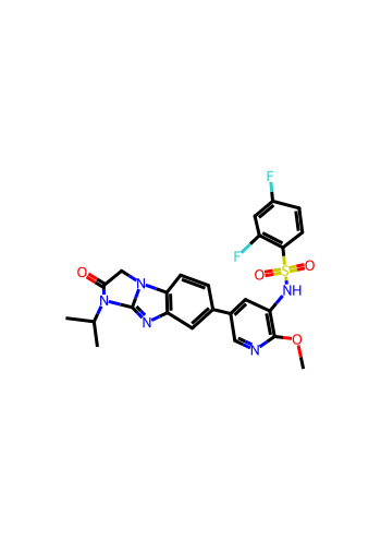 COc1ncc(-c2ccc3c(c2)nc2n3CC(=O)N2C(C)C)cc1NS(=O)(=O)c1ccc(F)cc1F